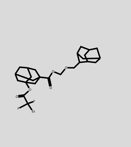 CCC(F)(F)C(=O)OC12CC3CC(C1)CC(C(=O)OCOCC1C4CC5CC(C4)CC1C5)(C3)C2